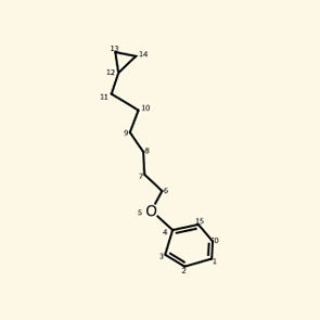 [c]1cccc(OCCCCCCC2CC2)c1